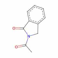 CC(=O)N1Cc2ccccc2C1=O